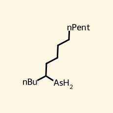 CCCCCCCCCC([AsH2])CCCC